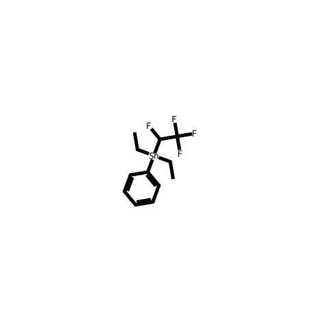 C[CH2][Sn]([CH2]C)([c]1ccccc1)[CH](F)C(F)(F)F